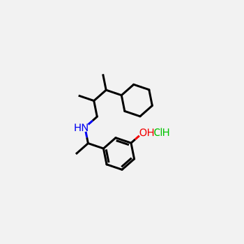 CC(NCC(C)C(C)C1CCCCC1)c1cccc(O)c1.Cl